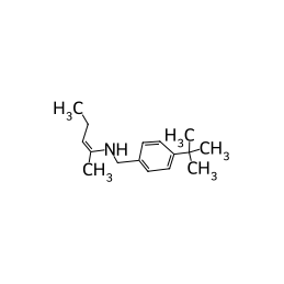 CC/C=C(/C)NCc1ccc(C(C)(C)C)cc1